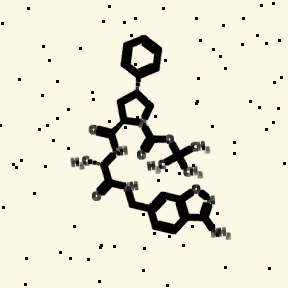 C[C@H](NC(=O)[C@H]1C[C@H](c2ccccc2)CN1C(=O)OC(C)(C)C)C(=O)NCc1ccc2c(N)noc2c1